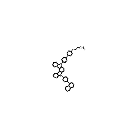 CCCCc1ccc(-c2ccc(-n3c4ccccc4c4c5c6ccccc6n(-c6ccc(-c7cccc8ccccc78)cc6)c5ccc43)cc2)cc1